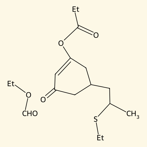 CCOC=O.CCSC(C)CC1CC(=O)C=C(OC(=O)CC)C1